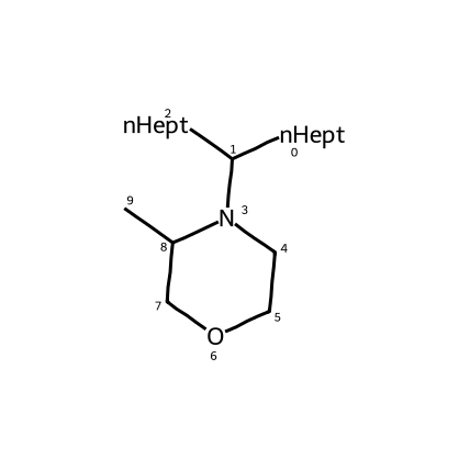 CCCCCCCC(CCCCCCC)N1CCOCC1C